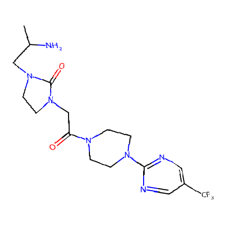 CC(N)CN1CCN(CC(=O)N2CCN(c3ncc(C(F)(F)F)cn3)CC2)C1=O